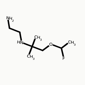 CC(F)OCC(C)(C)NCCN